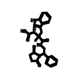 CC(Cc1n[nH]c2ccccc12)(NC(=O)O)C(=O)NCC(c1ccccc1)N1C(=O)CCC1=O